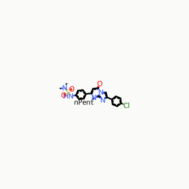 CCCCCn1c(-c2ccc(NS(=O)(=O)N(C)C)cc2)cc(=O)n2cc(-c3ccc(Cl)cc3)nc12